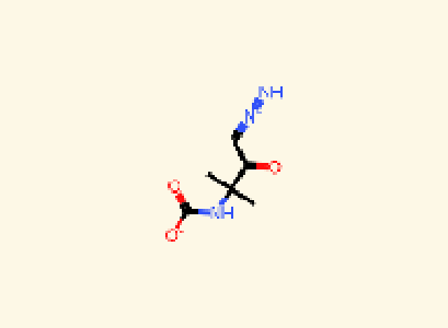 CC(C)(NC(=O)[O-])C(=O)C=[N+]=N